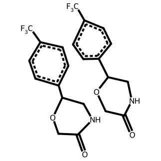 O=C1COC(c2ccc(C(F)(F)F)cc2)CN1.O=C1COC(c2ccc(C(F)(F)F)cc2)CN1